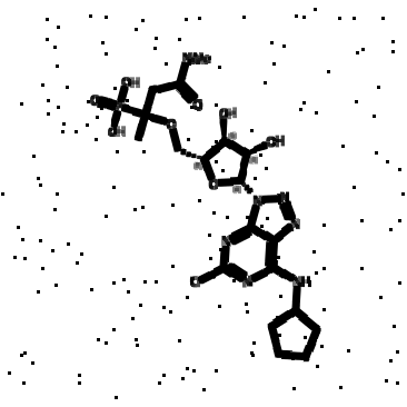 CNC(=O)CC(C)(OC[C@H]1O[C@@H](n2nnc3c(NC4CCCC4)nc(Cl)nc32)[C@H](O)[C@@H]1O)P(=O)(O)O